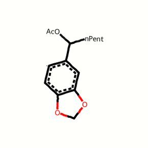 CCCCCC(OC(C)=O)c1[c]cc2c(c1)OCO2